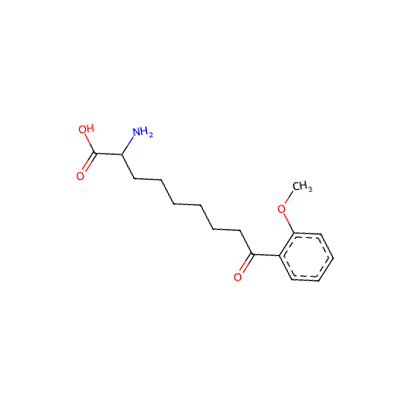 COc1ccccc1C(=O)CCCCCCC(N)C(=O)O